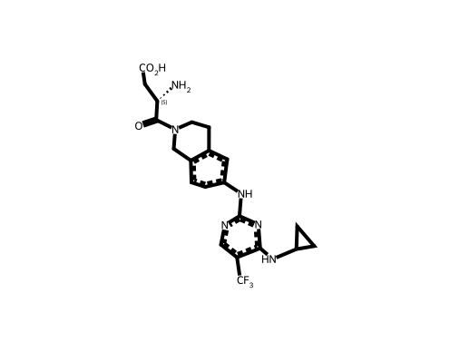 N[C@@H](CC(=O)O)C(=O)N1CCc2cc(Nc3ncc(C(F)(F)F)c(NC4CC4)n3)ccc2C1